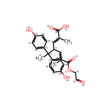 CC(=CC(C=C(C)C(=O)OCC=O)C(C)(c1ccc(O)cc1)c1ccc(O)cc1)C(=O)O